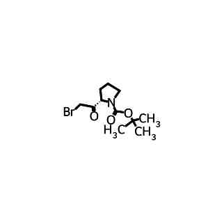 CC(C)(C)OC(=O)N1CCC[C@H]1C(=O)CBr